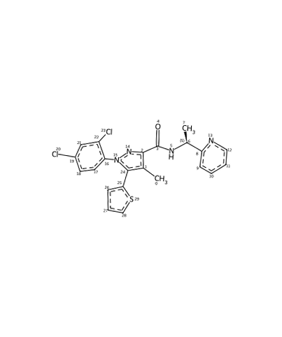 Cc1c(C(=O)N[C@@H](C)c2ccccn2)nn(-c2ccc(Cl)cc2Cl)c1-c1cccs1